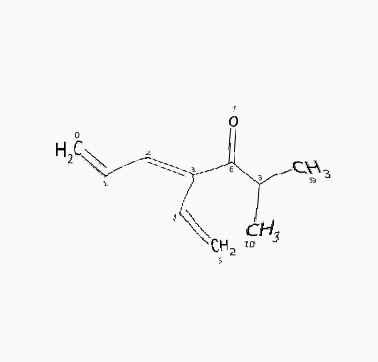 C=C/C=C(\C=C)C(=O)C(C)C